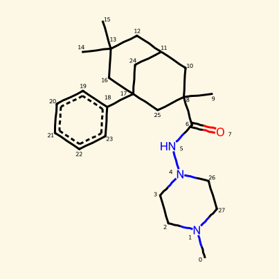 CN1CCN(NC(=O)C2(C)CC3CC(C)(C)CC(c4ccccc4)(C3)C2)CC1